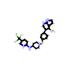 Cc1c(-c2ccc(SN3CCC(Nc4ccc(C(F)(F)F)cn4)CC3)cc2)cnc2[nH]ccc12